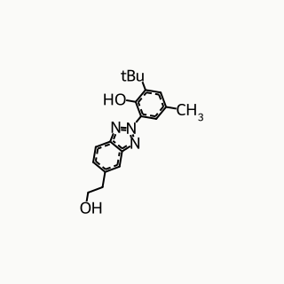 Cc1cc(-n2nc3ccc(CCO)cc3n2)c(O)c(C(C)(C)C)c1